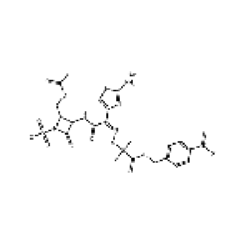 CC(=O)OCC1C(NC(=O)C(=NOC(C)(C)C(=O)OCc2ccc([N+](=O)[O-])cc2)c2csc(N)n2)C(=O)N1S(=O)(=O)[O-].[Na+]